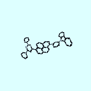 c1ccc(-c2cc(-c3ccc4ccc5c(-c6cccc(-n7c8ccccc8c8ccccc87)c6)ccc6ccc3c4c65)cc(-c3ccccc3)n2)cc1